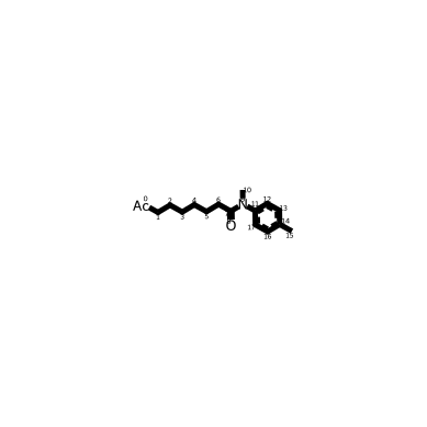 CC(=O)CCCCCCC(=O)N(C)c1ccc(C)cc1